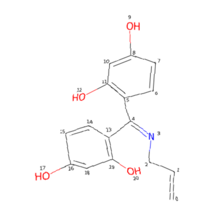 C=CCN=C(c1ccc(O)cc1O)c1ccc(O)cc1O